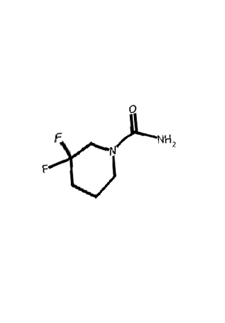 NC(=O)N1CCCC(F)(F)C1